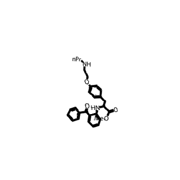 CCCNCCOc1ccc(CC(Nc2ccccc2C(=O)c2ccccc2)C(=O)OC)cc1